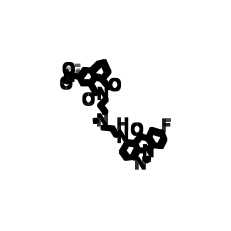 CN(CCCNc1ccc2ncn3c4ccc(F)cc4c(=O)c1c23)CCCN1C(=O)c2cccc3cc([N+](=O)[O-])cc(c23)C1=O